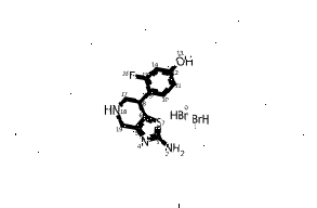 Br.Br.Nc1nc2c(s1)C(c1ccc(O)cc1F)CNC2